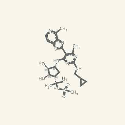 Cc1nc(NCC2CC2)nc(N[C@@H]2C[C@H](C(C)(C)NS(C)(=O)=O)[C@@H](O)[C@H]2O)c1-c1nc2c(C)nccc2s1